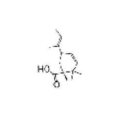 C/C=C(\C)C1C=CC(C)(C)[C@](C)(C(=O)O)C1